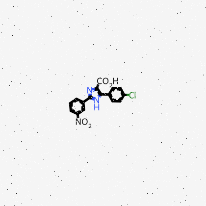 O=C(O)c1nc(-c2cccc([N+](=O)[O-])c2)[nH]c1-c1ccc(Cl)cc1